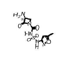 Cc1cc(NS(=O)(=O)NC(=O)N2C[C@H](N)C2=O)no1